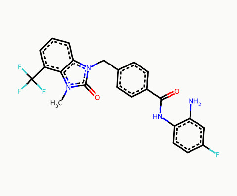 Cn1c(=O)n(Cc2ccc(C(=O)Nc3ccc(F)cc3N)cc2)c2cccc(C(F)(F)F)c21